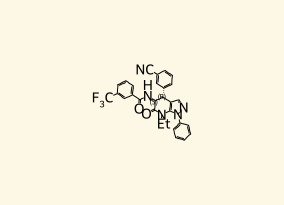 CCN1C(=O)[C@@H](NC(=O)c2cccc(C(F)(F)F)c2)[C@H](c2cccc(C#N)c2)c2cnn(-c3ccccc3)c21